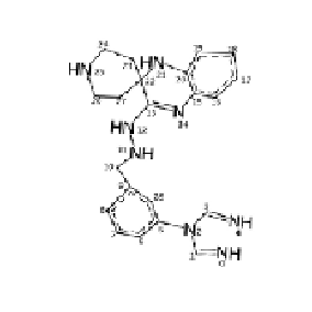 N=CN(C=N)c1cccc(CNNC2=Nc3ccccc3NC23CCNCC3)c1